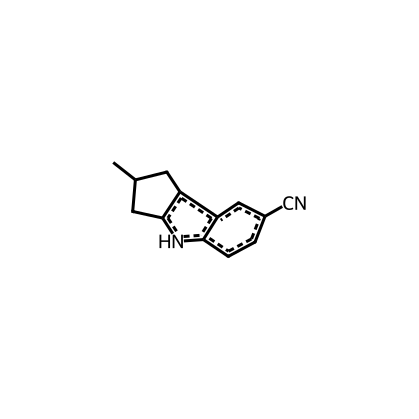 CC1Cc2[nH]c3ccc(C#N)cc3c2C1